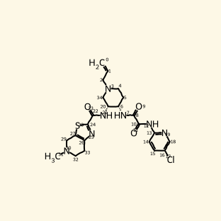 C=CCN1CC[C@H](NC(=O)C(=O)Nc2ccc(Cl)cn2)[C@H](NC(=O)c2nc3c(s2)CN(C)CC3)C1